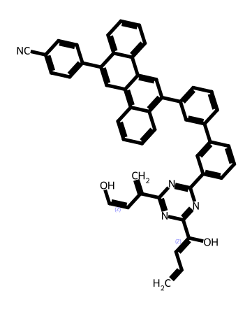 C=C/C=C(\O)c1nc(C(=C)/C=C\O)nc(-c2cccc(-c3cccc(-c4cc5c6ccccc6c(-c6ccc(C#N)cc6)cc5c5ccccc45)c3)c2)n1